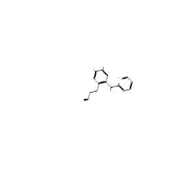 C=CCCc1cc(F)c(F)cc1C(O)c1ccccn1